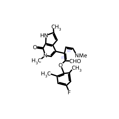 CN/C=C\C(=C(/C=O)Oc1c(C)cc(F)cc1C)c1cn(C)c(=O)c2[nH]c(C)cc12